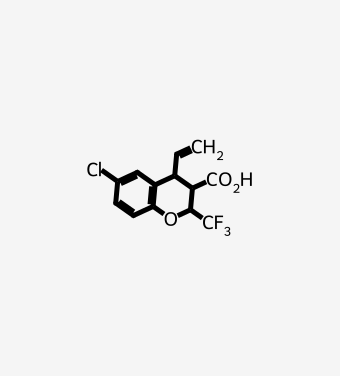 C=CC1c2cc(Cl)ccc2OC(C(F)(F)F)C1C(=O)O